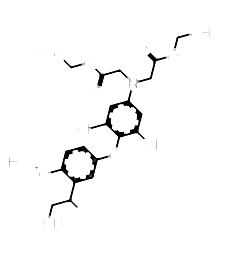 CCOC(=O)CN(CC(=O)OCC)c1cc(Cl)c(Oc2ccc(OC)c(C(C)CC)c2)c(Cl)c1